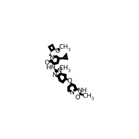 CO[C@H]1CC[C@H]1Cn1cc(C2CC2)cc(Nc2nc3ccc(Oc4ccnc(NC(C)=O)c4)cc3n2C)c1=O